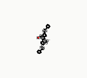 O=S(=O)([O-])c1cc(-n2ncc(-c3ccccc3)n2)ccc1C=Cc1ccc(-n2ncc(-c3ccccc3)n2)cc1S(=O)(=O)[O-].[K+].[K+]